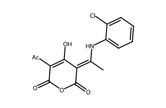 CC(=O)C1=C(O)C(=C(C)Nc2ccccc2Cl)C(=O)OC1=O